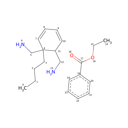 CCCCC1(CN)C=CC=CC1CN.CCOC(=O)c1ccccc1